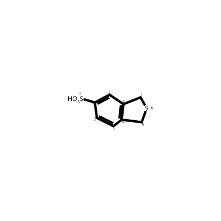 O=S(=O)(O)c1ccc2c(c1)CSC2